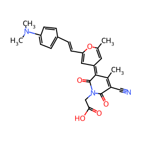 CC1=C/C(=C2/C(=O)N(CC(=O)O)C(=O)C(C#N)=C2C)C=C(/C=C/c2ccc(N(C)C)cc2)O1